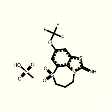 CS(=O)(=O)O.N=c1sc2cc(OC(F)(F)F)cc3c2n1CCCS3(=O)=O